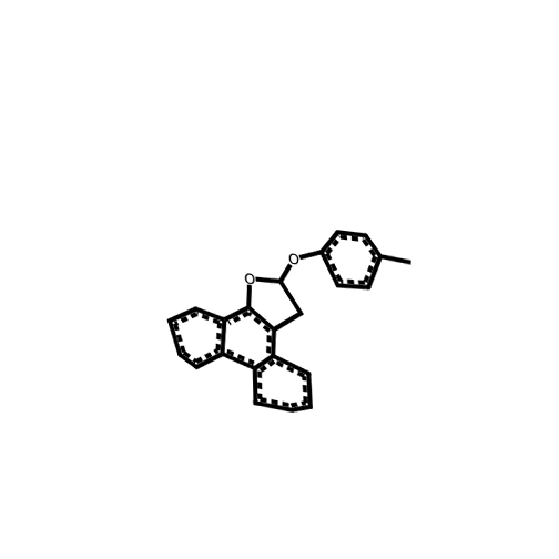 Cc1ccc(OC2Cc3c(c4ccccc4c4ccccc34)O2)cc1